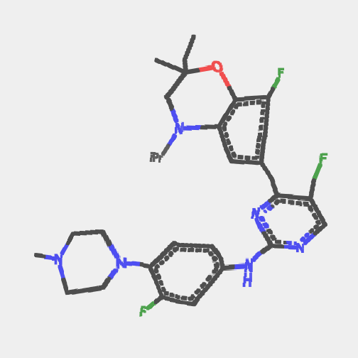 CC(C)N1CC(C)(C)Oc2c(F)cc(-c3nc(Nc4ccc(N5CCN(C)CC5)c(F)c4)ncc3F)cc21